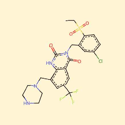 CCS(=O)(=O)c1ccc(Cl)cc1Cn1c(=O)[nH]c2c(CN3CCNCC3)cc(C(F)(F)F)cc2c1=O